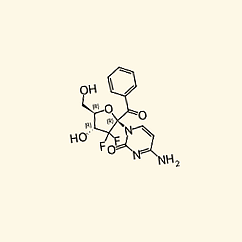 Nc1ccn([C@]2(C(=O)c3ccccc3)O[C@H](CO)[C@@H](O)C2(F)F)c(=O)n1